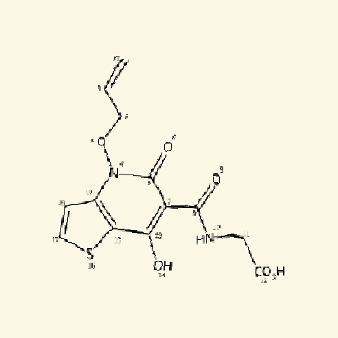 C=CCOn1c(=O)c(C(=O)NCC(=O)O)c(O)c2sccc21